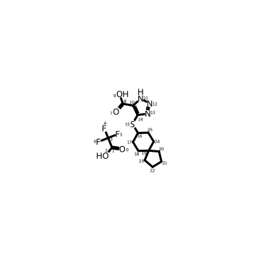 O=C(O)C(F)(F)F.O=C(O)c1[nH]nnc1SC1CCC2(CCCC2)CC1